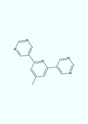 Cc1cc(-c2cncnc2)nc(-c2cncnc2)c1